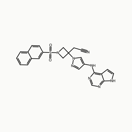 N#CCC1(n2cc(Nc3ncnc4[nH]ccc34)cn2)CN(S(=O)(=O)c2ccc3ccccc3c2)C1